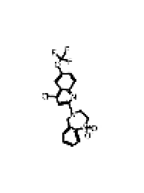 [O-][N+]1([O-])CCN(c2cc(Cl)c3cc(OC(F)(F)F)ccc3n2)Cc2ccccc21